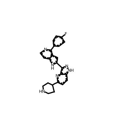 Fc1ccc(-c2nccc3[nH]c(-c4n[nH]c5ccc(C6CCNCC6)nc45)cc23)cc1